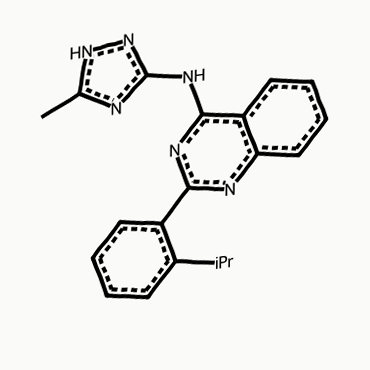 Cc1nc(Nc2nc(-c3ccccc3C(C)C)nc3ccccc23)n[nH]1